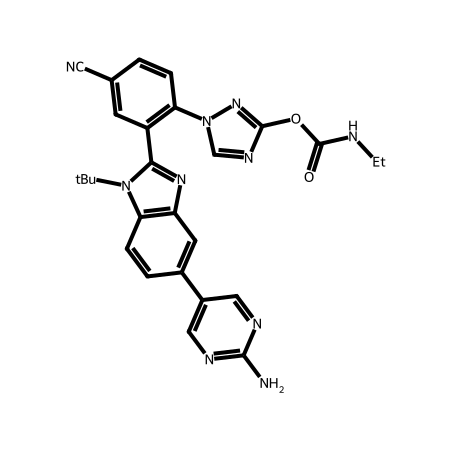 CCNC(=O)Oc1ncn(-c2ccc(C#N)cc2-c2nc3cc(-c4cnc(N)nc4)ccc3n2C(C)(C)C)n1